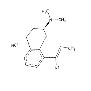 CC=C(CC)c1cccc2c1C[C@H](N(C)C)CC2.Cl